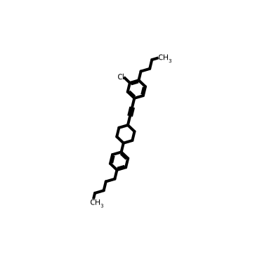 CCCCCc1ccc(C2CCC(C#Cc3ccc(CCCC)c(Cl)c3)CC2)cc1